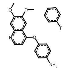 COc1cc2nccc(Oc3ccc(N)cc3)c2cc1OC.Fc1ccccc1